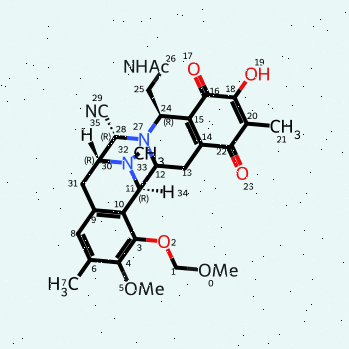 COCOc1c(OC)c(C)cc2c1[C@@H]1C3CC4=C(C(=O)C(O)=C(C)C4=O)[C@H](CNC(C)=O)N3[C@@H](C#N)[C@@H](C2)N1C